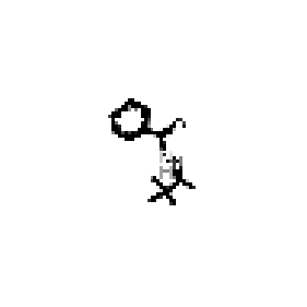 CC(=NNC(=O)c1ccccc1)C(C)(C)C